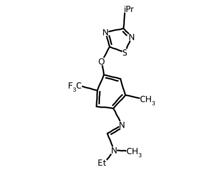 CCN(C)C=Nc1cc(C(F)(F)F)c(Oc2nc(C(C)C)ns2)cc1C